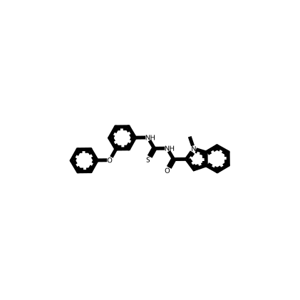 Cn1c(C(=O)NC(=S)Nc2cccc(Oc3ccccc3)c2)cc2ccccc21